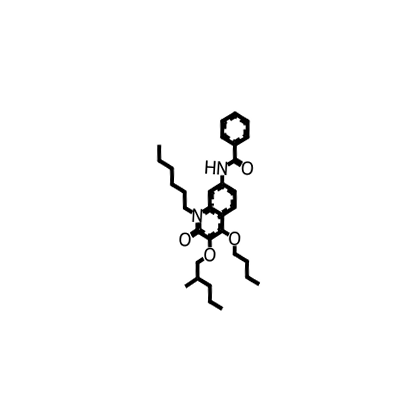 CCCCCCn1c(=O)c(OCC(C)CCC)c(OCCCC)c2ccc(NC(=O)c3ccccc3)cc21